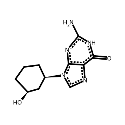 Nc1nc2c(ncn2[C@@H]2CCC[C@H](O)C2)c(=O)[nH]1